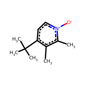 Cc1c(C(C)(C)C)cc[n+]([O-])c1C